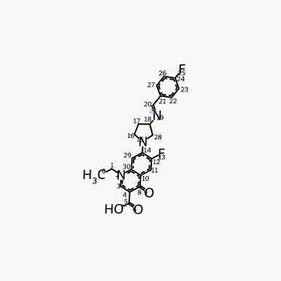 CCn1cc(C(=O)O)c(=O)c2cc(F)c(N3CCC(/N=C/c4ccc(F)cc4)C3)cc21